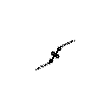 COCCOCCOCCOCCc1ccc(C#Cc2c3ccccc3c(C#Cc3ccc(CCOCCOCCOCCOC)cc3)c3ccccc23)cc1